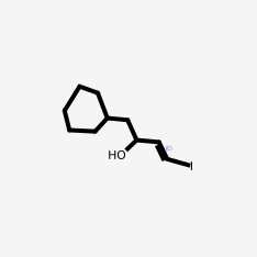 OC(/C=C/I)CC1CCCCC1